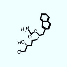 NC(=O)O[C@@H](CCC[C@H](O)CCl)Cc1ccc2ccccc2c1